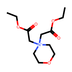 CCOC(=O)C[N+]1(CC(=O)OCC)CCOCC1